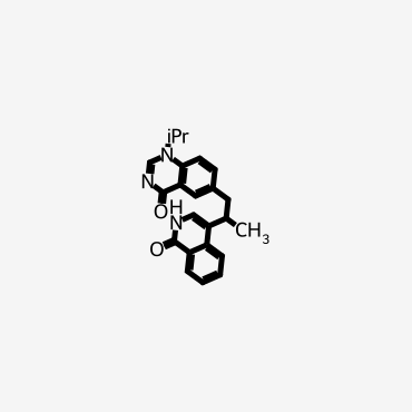 CC(Cc1ccc2c(c1)c(=O)ncn2C(C)C)c1c[nH]c(=O)c2ccccc12